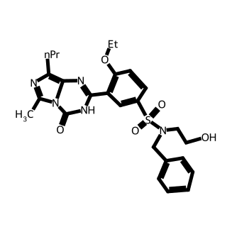 CCCc1nc(C)n2c(=O)[nH]c(-c3cc(S(=O)(=O)N(CCO)Cc4ccccc4)ccc3OCC)nc12